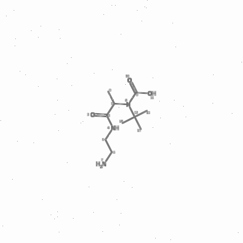 CC(C(=O)NCCN)N(C(=O)O)C(C)(C)C